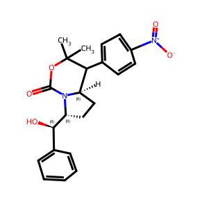 CC1(C)OC(=O)N2[C@H](CC[C@@H]2[C@H](O)c2ccccc2)C1c1ccc([N+](=O)[O-])cc1